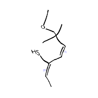 C/C=C(S)\C=C/C(C)(C)OC